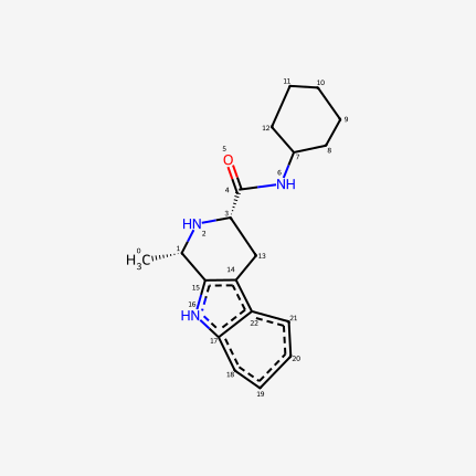 C[C@@H]1N[C@H](C(=O)NC2CCCCC2)Cc2c1[nH]c1ccccc21